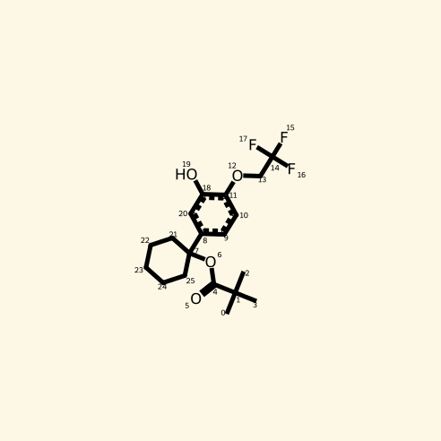 CC(C)(C)C(=O)OC1(c2ccc(OCC(F)(F)F)c(O)c2)CCCCC1